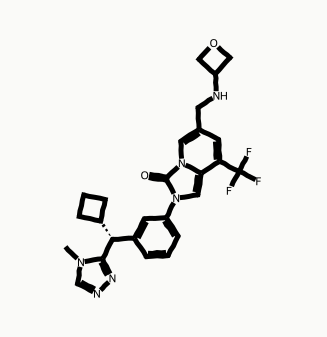 Cn1cnnc1[C@@H](c1cccc(-n2cc3c(C(F)(F)F)cc(CNC4COC4)cn3c2=O)c1)C1CCC1